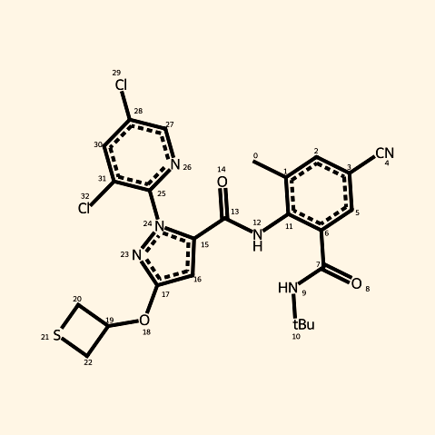 Cc1cc(C#N)cc(C(=O)NC(C)(C)C)c1NC(=O)c1cc(OC2CSC2)nn1-c1ncc(Cl)cc1Cl